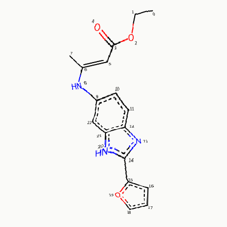 CCOC(=O)C=C(C)Nc1ccc2nc(-c3ccco3)[nH]c2c1